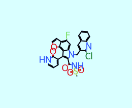 CS(=O)(=O)NC(=O)c1c(-c2ccc[nH]c2=O)c2c3occc3c(F)cc2n1Cc1cc2ccccc2nc1Cl